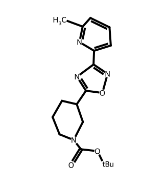 Cc1cccc(-c2noc(C3CCCN(C(=O)OC(C)(C)C)C3)n2)n1